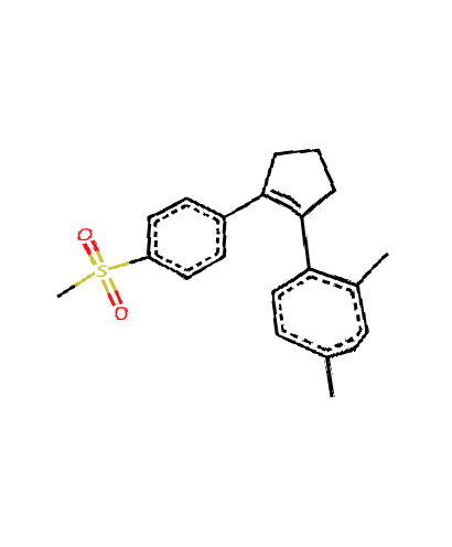 Cc1ccc(C2=C(c3ccc(S(C)(=O)=O)cc3)CCC2)c(C)c1